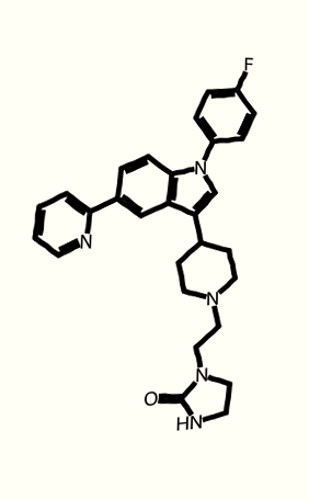 O=C1NCCN1CCN1CCC(c2cn(-c3ccc(F)cc3)c3ccc(-c4ccccn4)cc23)CC1